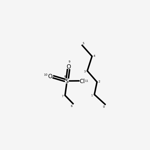 CCCCCC.CCS(=O)(=O)Cl